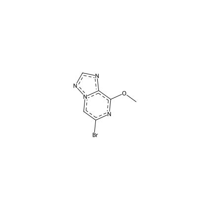 COc1nc(Br)cn2ncnc12